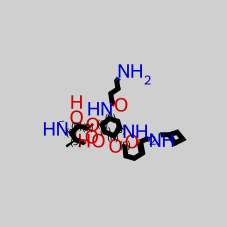 CN[C@@H]1[C@@H](O)[C@@H](O[C@@H]2[C@@H](O)[C@H](O[C@@H]3CCC=C(CNCC4CCC4)O3)[C@@H](N)C[C@H]2NC(=O)CCCN)OC[C@H]1C